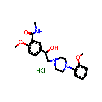 CNC(=O)c1cc(C(O)CN2CCN(c3ccccc3OC)CC2)ccc1OC.Cl